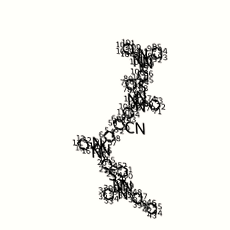 N#Cc1cc(-c2ccc(-c3nc(-c4ccccc4)nc(-c4ccc5sc6c(-c7nc(-c8ccccc8)nc(-c8ccc(-c9ccccc9)cc8)n7)cccc6c5c4)n3)cc2)ccc1-c1ccc(-c2nc(-c3ccccc3)nc(-c3cccc4c3sc3ccc(-c5nc(-c6ccccc6)nc(-c6ccccc6)n5)cc34)n2)cc1